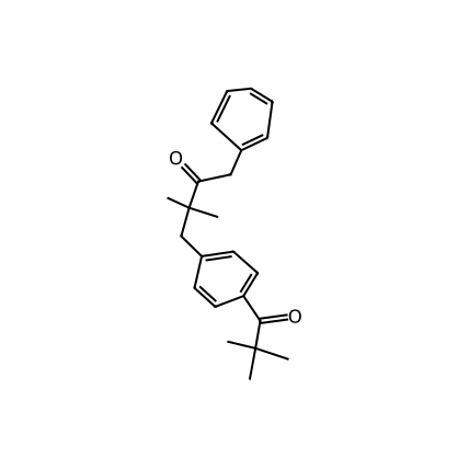 CC(C)(C)C(=O)c1ccc(CC(C)(C)C(=O)Cc2ccccc2)cc1